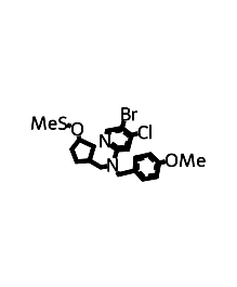 COc1ccc(CN(CC2CCC(OSC)C2)c2cc(Cl)c(Br)cn2)cc1